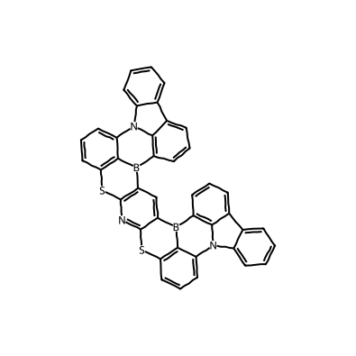 c1cc2c3c(c1)-n1c4ccccc4c4cccc(c41)B3c1cc3c(nc1S2)Sc1cccc2c1B3c1cccc3c4ccccc4n-2c13